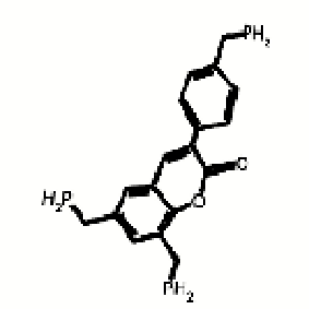 O=c1oc2c(CP)cc(CP)cc2cc1-c1ccc(CP)cc1